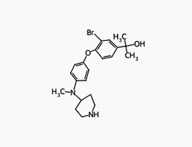 CN(c1ccc(Oc2ccc(C(C)(C)O)cc2Br)cc1)C1CCNCC1